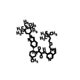 C[C@H]1CC[C@H](c2ccc3cn(C4CC(C)(C)N(C)C(C)(C)C4)nc3c2)N(C(=O)C(=O)Nc2cncc3cnn(COCC[Si](C)(C)C)c23)C1